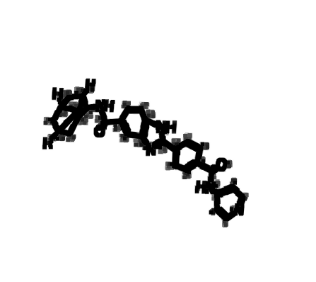 O=C(Nc1ccncc1)c1ccc(-c2nc3cc(C(=O)NC4C5C[C@H]6C[C@@H](C5)C[C@@H]4C6)ccc3[nH]2)cc1